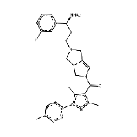 CC(=O)N[C@@H](CCN1CC2=CN(C(=O)c3c(C)nn(-c4ccc(C)nn4)c3C)CC2C1)c1cccc(F)c1